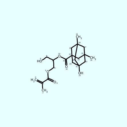 C=C(C)C(=O)OCC(CO)OC(=O)C12CC3(C)CC(C)(CC(O)(C3)C1)C2